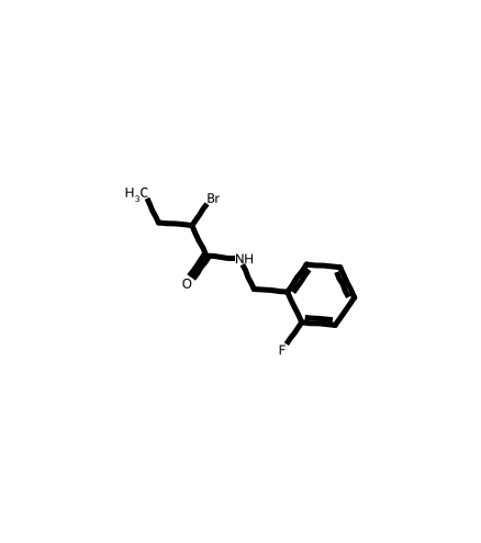 CCC(Br)C(=O)NCc1ccccc1F